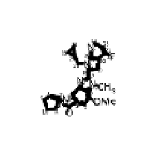 COc1cc(C(=O)N2CC3CCC2C3N)cc2nc(-c3cc4c(F)ccnc4n3CC3CC3)n(C)c12